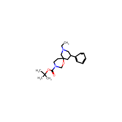 CCN1CC(c2ccccc2)CC2(CCN(C(=O)OC(C)(C)C)CO2)C1